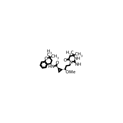 COC(CCN1C(=N)NC(C)(C)CC1=O)[C@@H]1C[C@H]1C(=O)N[C@H]1CC(C)(C)Oc2ccccc21